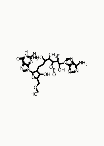 CC(C(O)CCC1C(O)C(COCO)OC1n1cnc2c(=O)[nH]c(N)nc21)C(OP=O)C(F)C(O)n1cnc2c(N)ncnc21